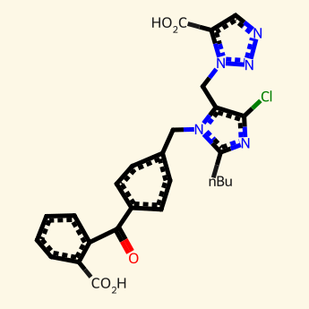 CCCCc1nc(Cl)c(Cn2nncc2C(=O)O)n1Cc1ccc(C(=O)c2ccccc2C(=O)O)cc1